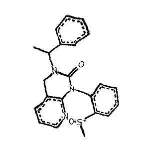 CC(c1ccccc1)N1Cc2cccnc2N(c2ccccc2[S+](C)[O-])C1=O